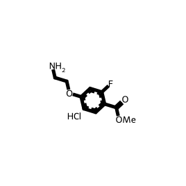 COC(=O)c1ccc(OCCN)cc1F.Cl